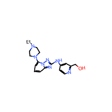 CCN1CCN(c2cccc3nc(Nc4ccnc(CO)c4)nn23)CC1